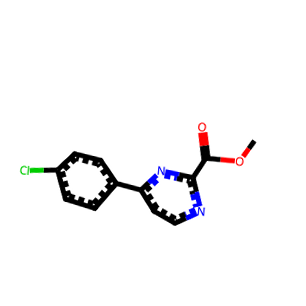 COC(=O)c1nccc(-c2ccc(Cl)cc2)n1